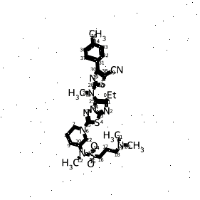 CCc1nc2sc(N3CCCC(N(C)S(=O)(=O)CCCN(C)C)C3)nn2c1N(C)c1nc(-c2ccc(C)cc2)c(C#N)s1